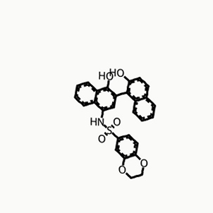 O=S(=O)(Nc1cc(-c2c(O)ccc3ccccc23)c(O)c2ccccc12)c1ccc2c(c1)OCCO2